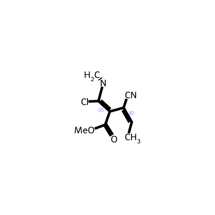 C=N/C(Cl)=C(C(=O)OC)\C(C#N)=C/C